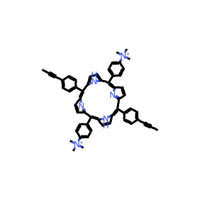 CC#Cc1ccc(-c2c3nc(c(-c4ccc([N+](C)(C)C)cc4)c4ccc([nH]4)c(-c4ccc(C#CC)cc4)c4nc(c(-c5ccc([N+](C)(C)C)cc5)c5ccc2[nH]5)C=C4)C=C3)cc1